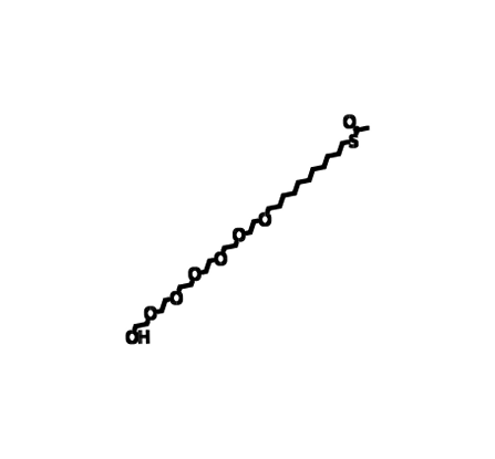 CC(=O)SCCCCCCCCCCCOCCOCCOCCOCCOCCOCCO